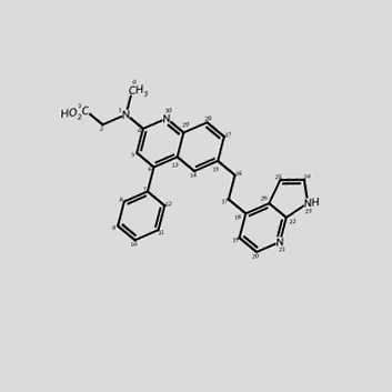 CN(CC(=O)O)c1cc(-c2ccccc2)c2cc(CCc3ccnc4[nH]ccc34)ccc2n1